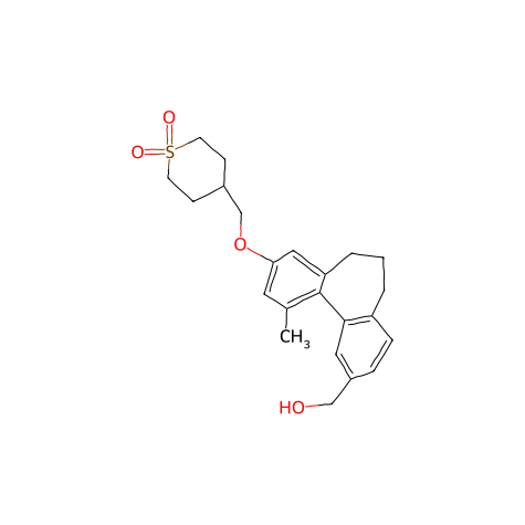 Cc1cc(OCC2CCS(=O)(=O)CC2)cc2c1-c1cc(CO)ccc1CCC2